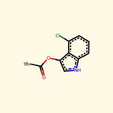 CC(C)(C)C(=O)Oc1c[nH]c2cccc(Cl)c12